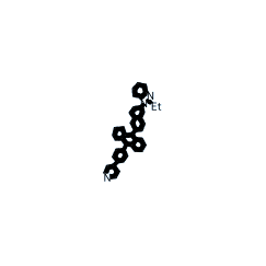 CCc1nc2ccccc2n1-c1ccc2cc(-c3c4ccccc4c(-c4ccc(-c5ccncc5)cc4)c4ccccc34)ccc2c1